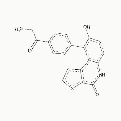 NCC(=O)c1ccc(-c2c(O)ccc3[nH]c(=O)c4sccc4c23)cc1